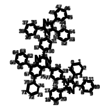 C1=CCCC(c2c(-c3ccccc3)nc(-c3ccccc3)n2-c2ccc(-c3nc(-c4ccc(-n5c(-c6ccccc6)nc(-c6ccccc6)c5-c5ccccc5)cc4)nc4c(-c5ccccc5)cc(C5C=CC=CC5)cc34)cc2)=C1